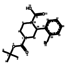 CC(C)(C)OC(=O)N1CCN(C(=O)O)C(c2ccccc2Br)C1